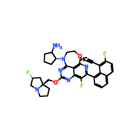 C#Cc1c(F)ccc2cccc(-c3nc4c5c(nc(OC[C@@]67CCCN6C[C@H](F)C7)nc5c3F)N([C@@H]3CCC[C@H]3N)CCO4)c12